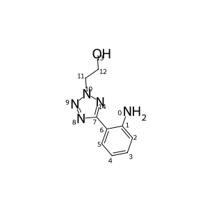 Nc1ccccc1-c1nnn(CCO)n1